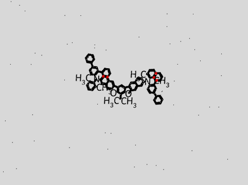 Cc1cccc(C)c1N(c1ccc2cc3c(cc2c1)oc1c(C(C)C)c2oc4cc5cc(N(c6ccc(-c7ccccc7)cc6-c6ccccc6)c6c(C)cccc6C)ccc5cc4c2cc13)c1ccc(-c2ccccc2)cc1-c1ccccc1